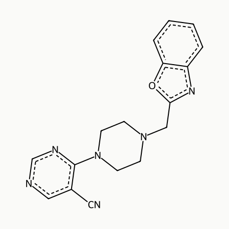 N#Cc1cncnc1N1CCN(Cc2nc3ccccc3o2)CC1